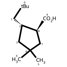 CC(C)(C)C[C@H]1CC(C)(C)C[C@@H]1C(=O)O